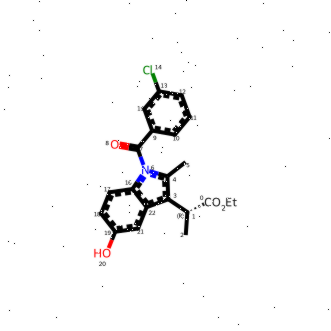 CCOC(=O)[C@H](C)c1c(C)n(C(=O)c2cccc(Cl)c2)c2ccc(O)cc12